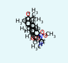 COC(=O)N(C1CCN(C)C1)[C@]1(OC(C)=O)CC[C@]2(C)[C@H]3CC[C@@H]4C5=C(C(C)C)C(=O)C[C@]5(C)CC[C@@]4(C)[C@]3(C)CC[C@H]2C1(C)C